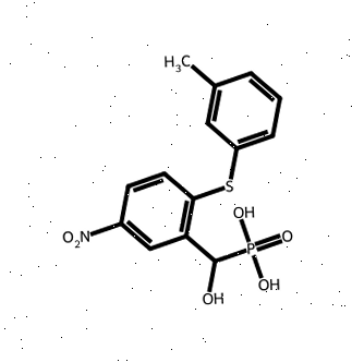 Cc1cccc(Sc2ccc([N+](=O)[O-])cc2C(O)P(=O)(O)O)c1